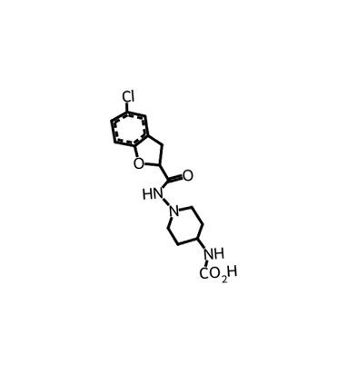 O=C(O)NC1CCN(NC(=O)C2Cc3cc(Cl)ccc3O2)CC1